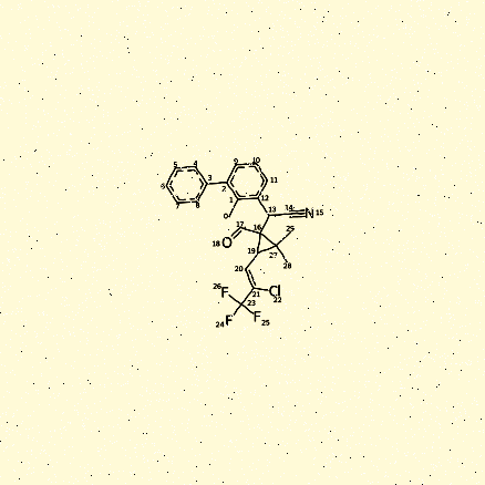 Cc1c(-c2ccccc2)cccc1C(C#N)C1([C]=O)C(C=C(Cl)C(F)(F)F)C1(C)C